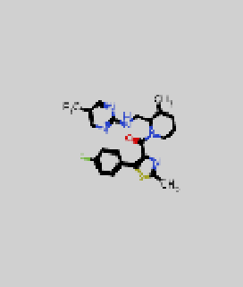 Cc1nc(C(=O)N2CCCC(C)C2CNc2ncc(C(F)(F)F)cn2)c(-c2ccc(F)cc2)s1